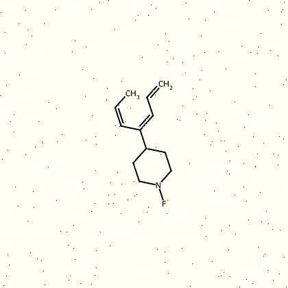 C=C/C=C(\C=C/C)C1CCN(F)CC1